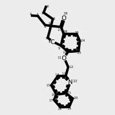 CCCC1(CCC)CCc2c(OCc3ccc4ccccc4n3)cccc2C1=O